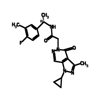 Cc1cc([C@H](C)NC(=O)Cn2ncc3c(c(C)nn3C3CC3)c2=O)ccc1F